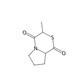 CC1SC(=O)C2CCCN2C1=O